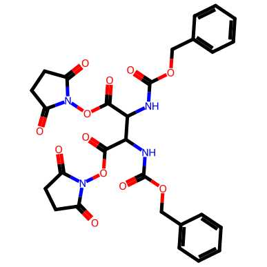 O=C(NC(C(=O)ON1C(=O)CCC1=O)C(NC(=O)OCc1ccccc1)C(=O)ON1C(=O)CCC1=O)OCc1ccccc1